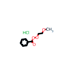 COCCOOC(=O)c1ccccc1.Cl